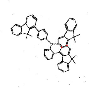 CC1(C)c2ccccc2-c2cc(N(c3ccc(-c4cccc5c4C(C)(C)c4ccccc4-5)cc3)c3ccccc3-c3cccc4c3-c3ccccc3C4(C)C)ccc21